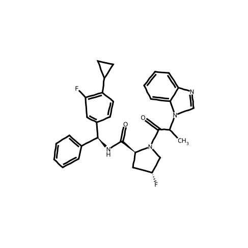 CC(C(=O)N1C[C@H](F)C[C@H]1C(=O)N[C@@H](c1ccccc1)c1ccc(C2CC2)c(F)c1)n1cnc2ccccc21